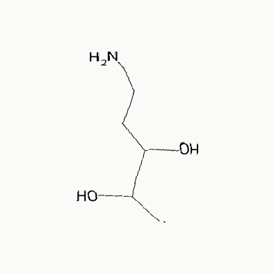 [CH2]C(O)C(O)CCN